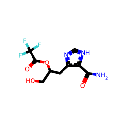 NC(=O)c1[nH]cnc1CC(CO)OC(=O)C(F)(F)F